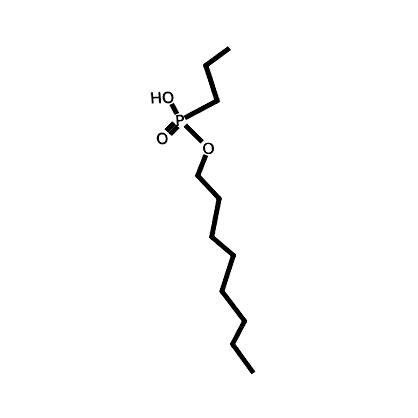 CCCCCCCCOP(=O)(O)CCC